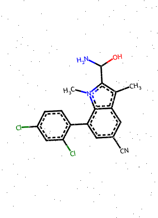 Cc1c(C(N)O)n(C)c2c(-c3ccc(Cl)cc3Cl)cc(C#N)cc12